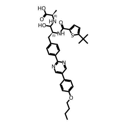 CCCCOc1ccc(-c2cnc(-c3ccc(C[C@H](NC(=O)c4ccc(C(C)(C)C)s4)C(O)N[C@H](C)C(=O)O)cc3)nc2)cc1